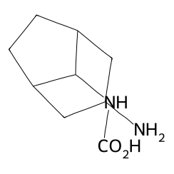 NC1CC2CCC(C1)C2NC(=O)O